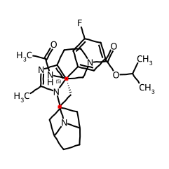 CC(=O)N[C@@H](CCN1C2CCC1CC(n1c(C)nc3c1CN(C(=O)OC(C)C)CC3)C2)c1cccc(F)c1